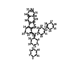 c1ccc(-c2ccc(N(c3ccc(-c4ccccc4)cc3)c3cccc4c3sc3cc5cnccc5cc34)cc2)cc1